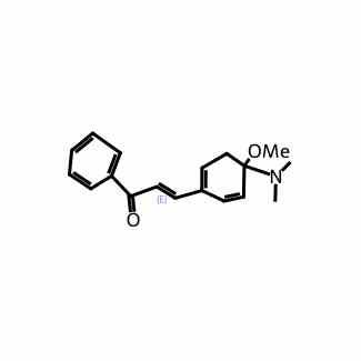 COC1(N(C)C)C=CC(/C=C/C(=O)c2ccccc2)=CC1